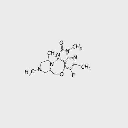 Cc1nc2c3c(nc(=O)n2C)N2C(C)CN(C)CC2COc3c1F